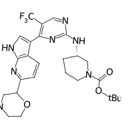 CC(C)(C)OC(=O)N1CCC[C@H](Nc2ncc(C(F)(F)F)c(-c3c[nH]c4nc(C5CNCCO5)ccc34)n2)C1